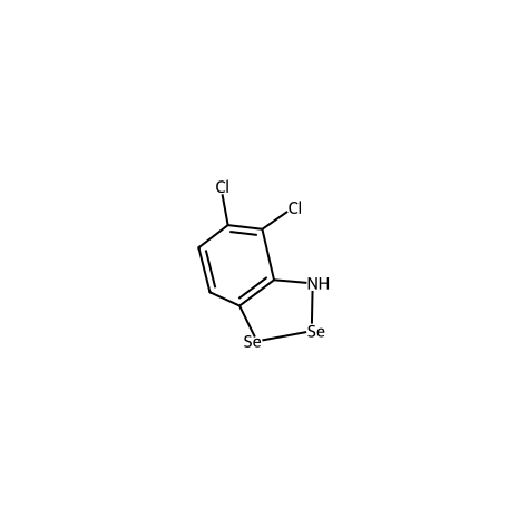 Clc1ccc2c(c1Cl)N[Se][Se]2